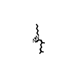 CCCCCCn1cncc1C=C(C)CCC=C(C)C